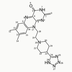 C=c1nc2c(c(=O)[nH]1)=Nc1cc(C)c(C)cc1N2CCN1CCC(c2nnn[nH]2)CC1